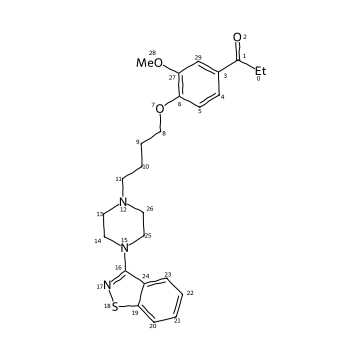 CCC(=O)c1ccc(OCCCCN2CCN(c3nsc4ccccc34)CC2)c(OC)c1